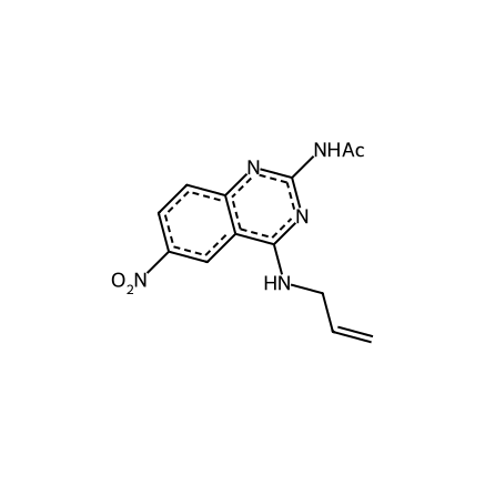 C=CCNc1nc(NC(C)=O)nc2ccc([N+](=O)[O-])cc12